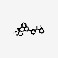 FC[C@H]1CN(c2nc(-c3ccnc(Nc4cccnc4F)c3)nc3cncc(C4CC4)c23)CCN1